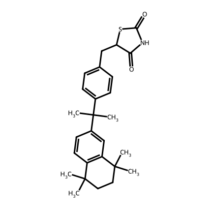 CC1(C)CCC(C)(C)c2cc(C(C)(C)c3ccc(CC4SC(=O)NC4=O)cc3)ccc21